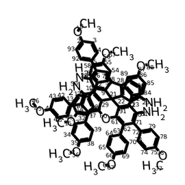 COc1ccc(-c2cc3c(c(-c4ccc(OC)cc4)c2N)C2(c4cc(N)ccc4-3)c3c(c(-c4ccc(OC)cc4)c(-c4ccc(OC)cc4)c(N)c3-c3ccc(OC)cc3)Oc3c(-c4ccc(OC)cc4)c(-c4ccc(OC)cc4)c(N)c(-c4ccc(OC)cc4)c32)cc1